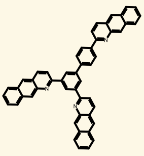 c1ccc2cc3nc(-c4ccc(-c5cc(-c6ccc7cc8ccccc8cc7n6)cc(-c6ccc7cc8ccccc8cc7n6)c5)cc4)ccc3cc2c1